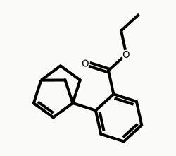 CCOC(=O)c1ccccc1C12C=CC(CC1)C2